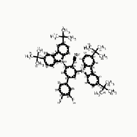 CC(C)(C)c1ccc2c(c1)c1cc(C(C)(C)C)ccc1n2-c1cc(-c2ccc(F)c(F)c2)cc(-n2c3ccc(C(C)(C)C)cc3c3cc(C(C)(C)C)ccc32)c1C#N